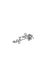 CC(C)(C)OC(=O)NCCCC(COS(C)(=O)=O)NC(=O)OC(C)(C)C